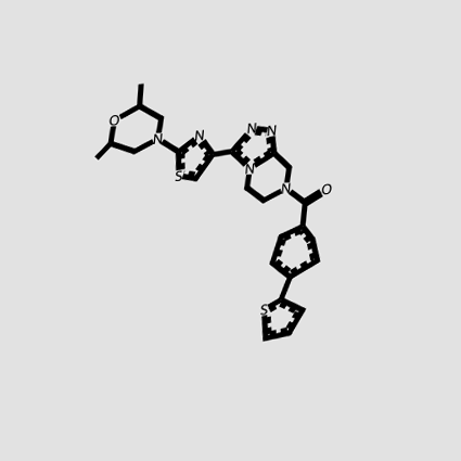 CC1CN(c2nc(-c3nnc4n3CCN(C(=O)c3ccc(-c5cccs5)cc3)C4)cs2)CC(C)O1